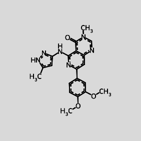 COc1ccc(-c2cc3ncn(C)c(=O)c3c(Nc3cc(C)[nH]n3)n2)cc1OC